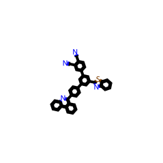 N#Cc1ccc(-c2cc(-c3ccc(-c4nc5ccccc5c5ccccc45)cc3)cc(-c3nc4ccccc4s3)c2)cc1C#N